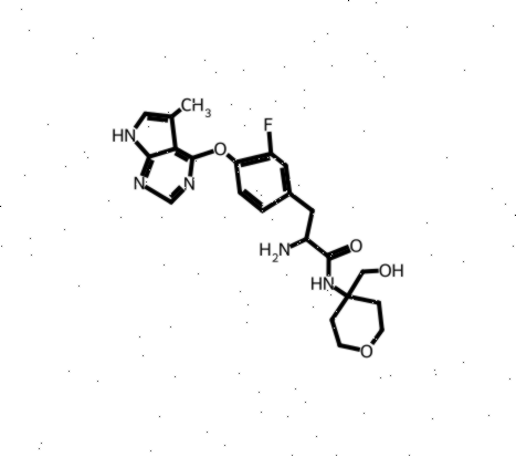 Cc1c[nH]c2ncnc(Oc3ccc(CC(N)C(=O)NC4(CO)CCOCC4)cc3F)c12